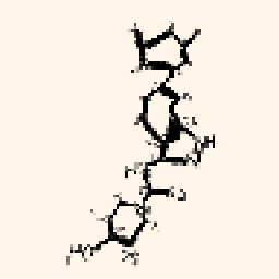 Cc1cc(C)cc(-c2ccc3c(NC(=O)N4CCC(O)CC4)n[nH]c3c2)c1